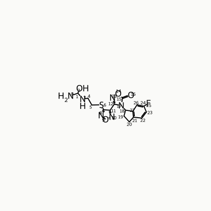 NC(O)NCCSc1nonc1-c1noc(=O)n1C1CCc2ccc(F)cc21